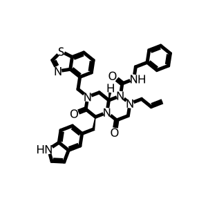 C=CCN1CC(=O)N2[C@@H](Cc3ccc4[nH]ccc4c3)C(=O)N(Cc3cccc4scnc34)C[C@@H]2N1C(=O)NCc1ccccc1